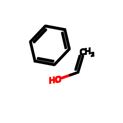 C=CO.c1ccccc1